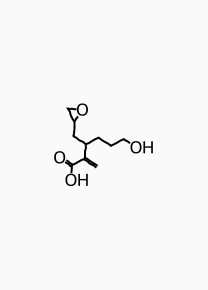 C=C(C(=O)O)C(CCCO)CC1CO1